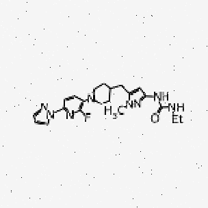 CCNC(=O)Nc1cc(CC2CCN(c3ccc(-n4cccn4)nc3F)CC2)n(C)n1